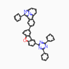 c1ccc(-c2nc(-c3ccccc3)nc(-c3ccc4oc5ccc(-c6ccc7c(c6)c6c(-c8ccccc8)nc8cccc7n86)cc5c4c3)n2)cc1